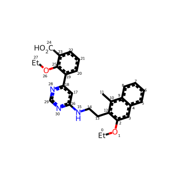 CCOc1cc2ccccc2c(C)c1CCNc1cc(-c2cccc(C(=O)O)c2OCC)ncn1